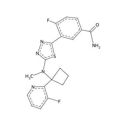 CN(c1nnc(-c2cc(C(N)=O)ccc2F)s1)C1(c2ncccc2F)CCC1